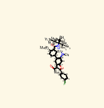 BC(B)(B)C(NC(=O)c1cc(-c2cc3c(C(=O)NC)c(-c4ccc(F)cc4)oc3cc2N(C#N)CC)ccc1OC)(C(B)(B)B)C(B)(B)B